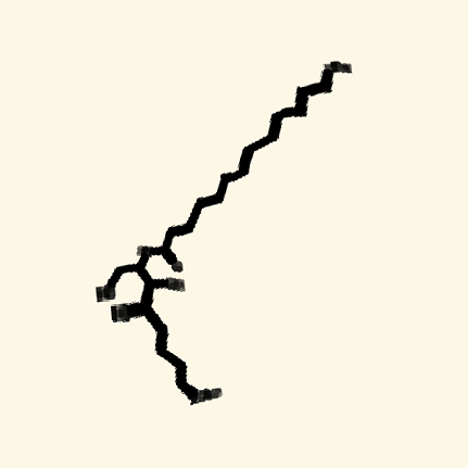 CCCCCCCCCCCCCCCCCCCCCCC(=O)NC(CO)C(O)C(O)CCCCCCCCCCCCCC